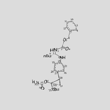 CCCCC(NC(=O)OCc1ccccc1)Nc1ccc(C2CC2(OC(N)=O)C(C)(C)C)cc1